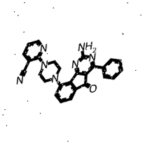 N#Cc1cccnc1N1CCN(c2cccc3c2-c2nc(N)nc(-c4ccccc4)c2C3=O)CC1